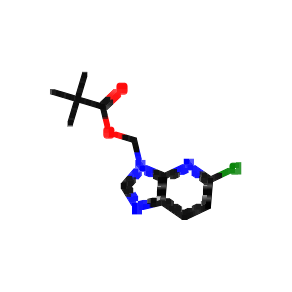 CC(C)(C)C(=O)OCn1cnc2ccc(Cl)nc21